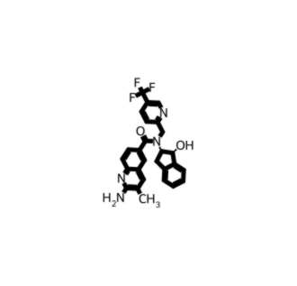 Cc1cc2cc(C(=O)N(Cc3ccc(C(F)(F)F)cn3)[C@H]3Cc4ccccc4[C@H]3O)ccc2nc1N